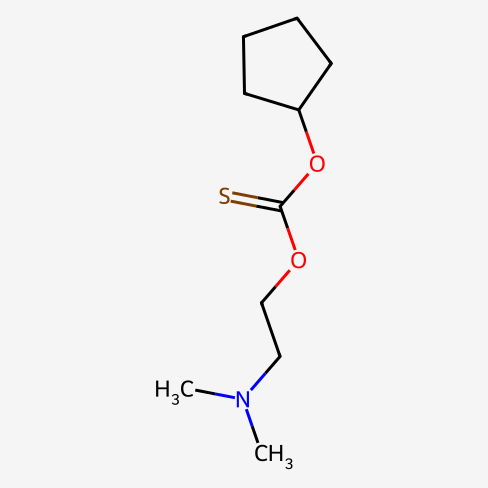 CN(C)CCOC(=S)OC1CCCC1